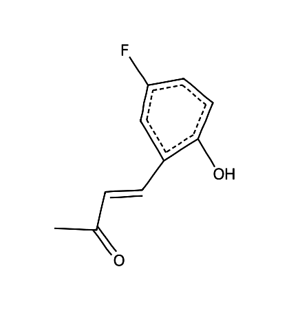 CC(=O)C=Cc1cc(F)ccc1O